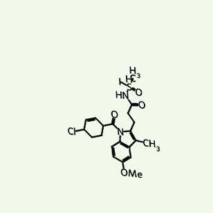 COc1ccc2c(c1)c(C)c(CCC(=O)N[SH](C)(=O)I)n2C(=O)C1C=CC(Cl)CC1